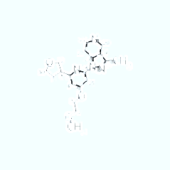 COCCOc1cc(C2CCOC2)nc(-n2nc(C)c3cnccc32)c1